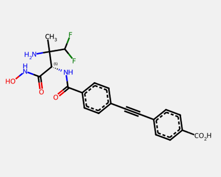 CC(N)(C(F)F)[C@H](NC(=O)c1ccc(C#Cc2ccc(C(=O)O)cc2)cc1)C(=O)NO